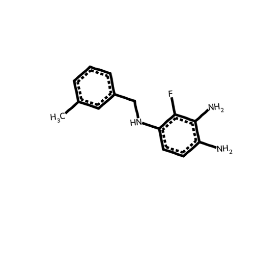 Cc1cccc(CNc2ccc(N)c(N)c2F)c1